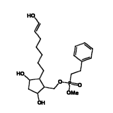 COP(=O)(CCc1ccccc1)OCC1C(O)CC(O)C1CCCCCC=CO